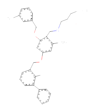 COc1cc(OCc2cccc(-c3ccccc3)c2C)cc(OCc2cccc(C#N)c2)c1CNC[C@@H](O)CC(=O)O